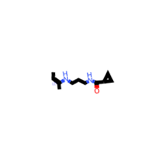 C/C=C(/C)NCCCNC(=O)C1CC1